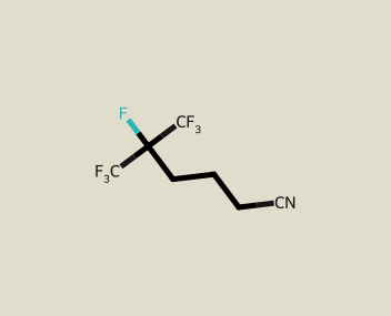 N#CCCCC(F)(C(F)(F)F)C(F)(F)F